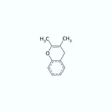 CC1=C(C)Oc2ccccc2C1